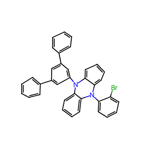 Brc1ccccc1N1c2ccccc2N(c2cc(-c3ccccc3)cc(-c3ccccc3)c2)c2ccccc21